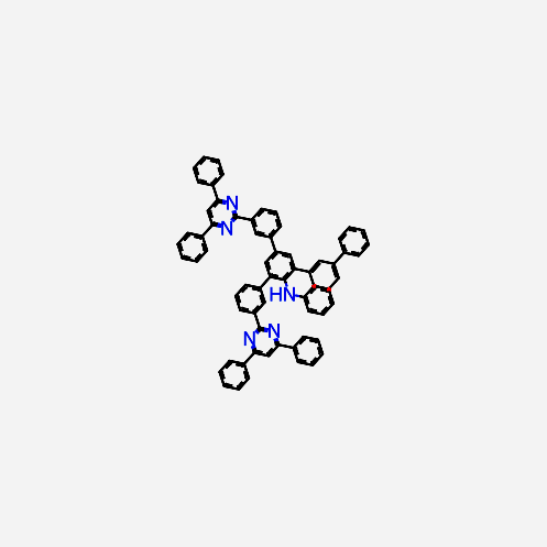 CC1CC=C(c2ccccc2)C=C1c1cc(-c2cccc(-c3nc(-c4ccccc4)cc(-c4ccccc4)n3)c2)cc(-c2cccc(-c3nc(-c4ccccc4)cc(-c4ccccc4)n3)c2)c1Nc1ccccc1